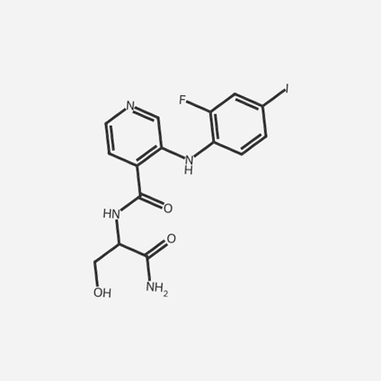 NC(=O)C(CO)NC(=O)c1ccncc1Nc1ccc(I)cc1F